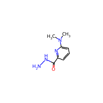 CN(C)c1cccc(C(=O)NN)n1